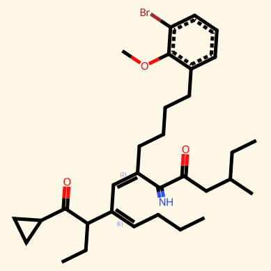 CCC/C=C(\C=C(\CCCCc1cccc(Br)c1OC)C(=N)C(=O)CC(C)CC)C(CC)C(=O)C1CC1